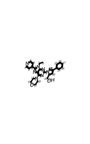 CCn1c(-c2ccncc2)nc2c(N3CCOCC3)nc(-n3nc(-c4ccccc4)cc3CO)nc21